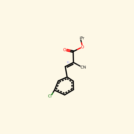 CC(C)OC(=O)/C(C#N)=C/c1cccc(Cl)c1